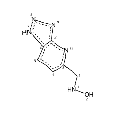 ONCc1ccc2[nH]nnc2n1